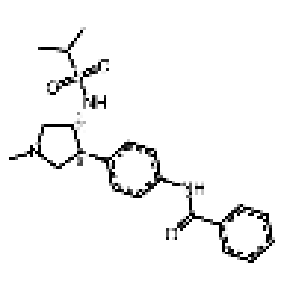 CC(C)S(=O)(=O)N[C@H]1CN(C)C[C@@H]1c1ccc(NC(=O)c2ccccc2)cc1